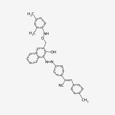 Cc1ccc(C=C(C#N)c2ccc(N=Nc3c(O)c(CONc4ccc(C)cc4C)cc4ccccc34)cc2)cc1